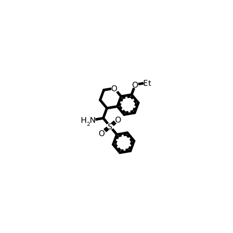 CCOc1cccc2c1OCCC2C(N)S(=O)(=O)c1ccccc1